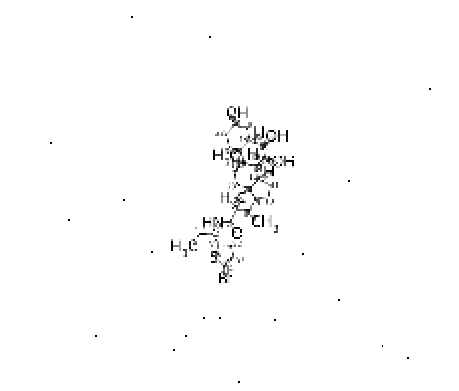 CCC(NC(=O)C[C@@H](C)C1CC[C@H]2[C@@H]3[C@H](O)[C@H](O)[C@@H]4C[C@H](O)CC[C@]4(C)[C@H]3CC[C@]12C)c1ccc(Br)s1